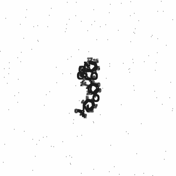 CC(C)N1CCC(OC2=CCC([C@@H]3Oc4cccnc4S(=O)(=O)[C@H]3C)C=C2)CC1